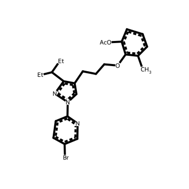 CCC(CC)c1nn(-c2ccc(Br)cn2)cc1CCCOc1c(C)cccc1OC(C)=O